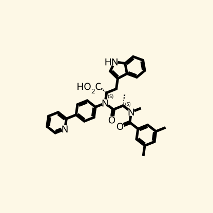 Cc1cc(C)cc(C(=O)N(C)[C@@H](C)C(=O)N(c2ccc(-c3ccccn3)cc2)[C@@H](Cc2c[nH]c3ccccc23)C(=O)O)c1